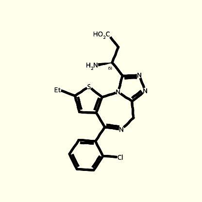 CCc1cc2c(s1)-n1c(nnc1[C@@H](N)CC(=O)O)CN=C2c1ccccc1Cl